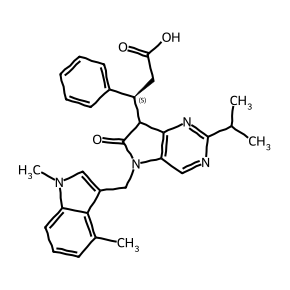 Cc1cccc2c1c(CN1C(=O)C([C@H](CC(=O)O)c3ccccc3)c3nc(C(C)C)ncc31)cn2C